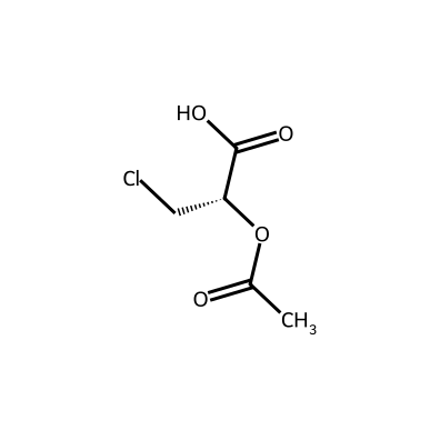 CC(=O)O[C@H](CCl)C(=O)O